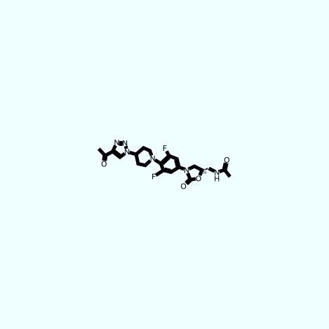 CC(=O)NC[C@H]1CN(c2cc(F)c(N3CCC(n4cc(C(C)=O)nn4)CC3)c(F)c2)C(=O)O1